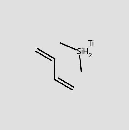 C=CC=C.C[SiH2]C.[Ti]